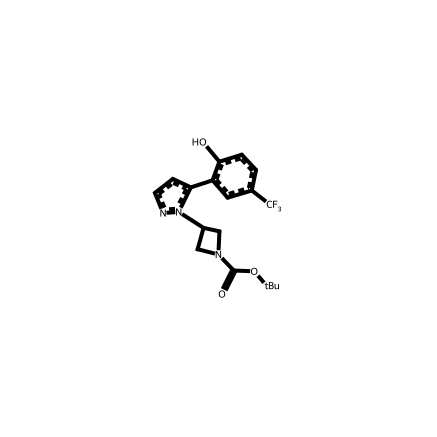 CC(C)(C)OC(=O)N1CC(n2nccc2-c2cc(C(F)(F)F)ccc2O)C1